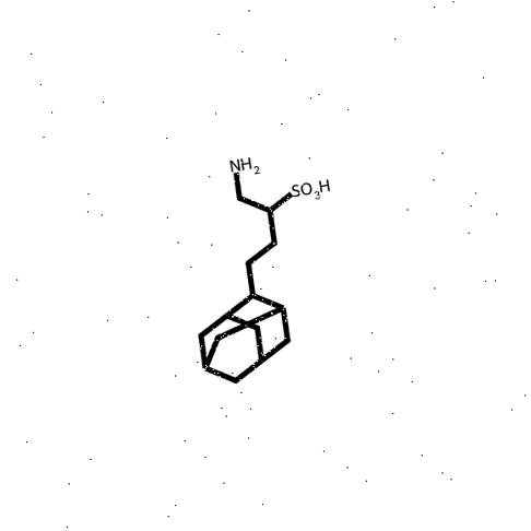 NCC(CCC1C2CC3CC(C2)CC1C3)S(=O)(=O)O